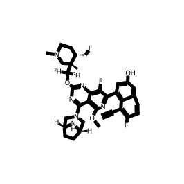 [2H]C([2H])(Oc1nc(N2C[C@H]3CC[C@@H](C2)N3)c2c(OC)nc(-c3cc(O)cc4ccc(F)c(C#C)c34)c(F)c2n1)[C@]1(C)CN(C)CC[C@@H]1CF